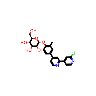 Cc1cc(-c2ccnc(-c3ccnc(Cl)c3)c2)ccc1O[C@H]1O[C@H](CO)[C@@H](O)[C@H](O)[C@@H]1O